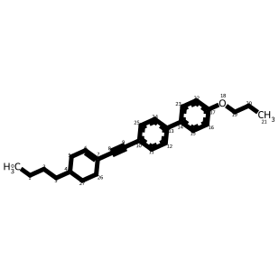 CCCCC1CC=C(C#Cc2ccc(-c3ccc(OCCC)cc3)cc2)CC1